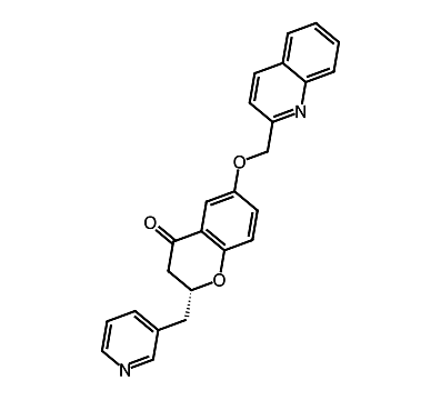 O=C1C[C@@H](Cc2cccnc2)Oc2ccc(OCc3ccc4ccccc4n3)cc21